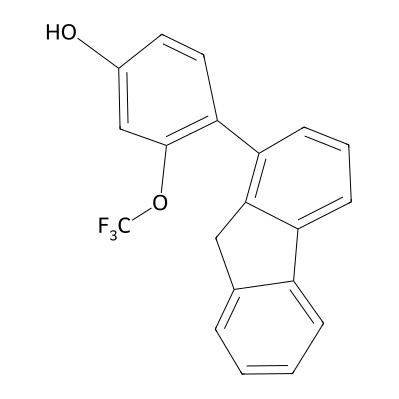 Oc1ccc(-c2cccc3c2Cc2ccccc2-3)c(OC(F)(F)F)c1